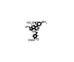 CCCn1ncc2c3c(NCc4ccc(OC)c(Cl)c4)nnc([C@]4(CCC(=O)O)CC[C@@H](N)CC4)c3cnc21